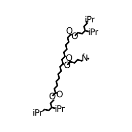 CC(C)CCC(CCOC(=O)CCCCCCCC(CCCCCCCC(=O)OCCC(CCC(C)C)C(C)C)OC(=O)CCCN(C)C)C(C)C